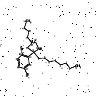 CCCCCCCCC(CCCCCC)(NC)c1cc(Br)ccc1Br